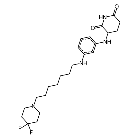 O=C1CCC(Nc2cccc(NCCCCCCCN3CCC(F)(F)CC3)c2)C(=O)N1